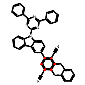 N#Cc1cccc2c1C1c3ccccc3C2c2c1ccc(-c1ccc3c(c1)c1ccccc1n3-c1nc(-c3ccccc3)nc(-c3ccccc3)n1)c2C#N